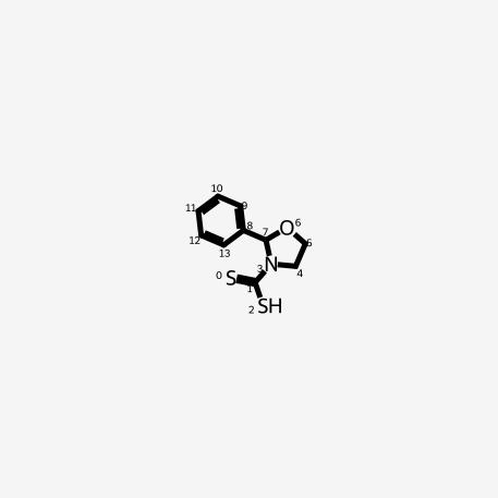 S=C(S)N1CCOC1c1ccccc1